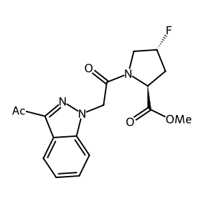 COC(=O)[C@@H]1C[C@@H](F)CN1C(=O)Cn1nc(C(C)=O)c2ccccc21